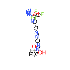 CCC(C(C)O)n1ccn(-c2ccc(N3CCN(c4ccc(-c5ccc(C(F)(F)C(O)(Cn6cnnn6)c6ccc(F)cc6F)nc5)cc4)CC3)cc2)c1=O